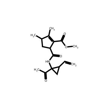 C=CC1CC1(NC(=O)C1CC(C)C(C)=C1C(=O)OC)C(C)=O